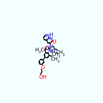 CCCCN(C(=O)Nc1c(C(C)C)cc(-c2cccc(OCCCO)c2)cc1C(C)C)c1cc2cccnc2[nH]c1=O